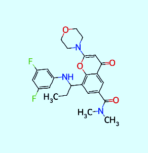 CCC(Nc1cc(F)cc(F)c1)c1cc(C(=O)N(C)C)cc2c(=O)cc(N3CCOCC3)oc12